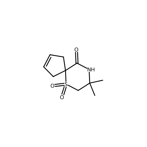 CC1(C)CS(=O)(=O)C2(CC=CC2)C(=O)N1